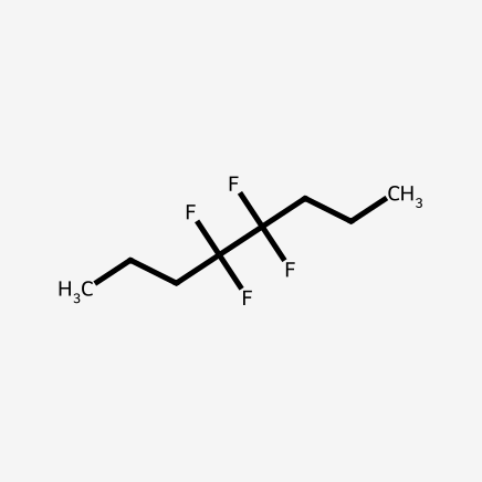 CCCC(F)(F)C(F)(F)CCC